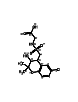 CC1(C)Oc2ccc(Cl)cc2C(CS(=O)(=O)NCC(=O)O)C1O